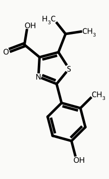 Cc1cc(O)ccc1-c1nc(C(=O)O)c(C(C)C)s1